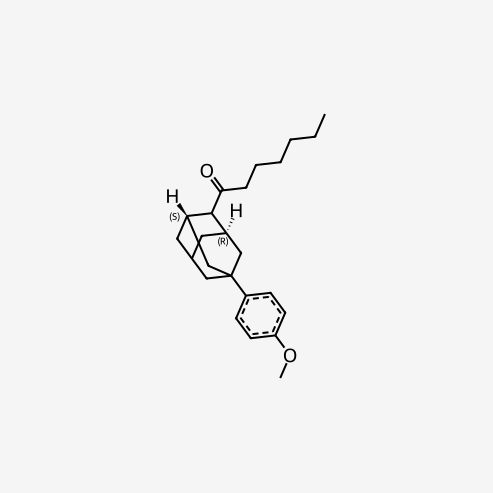 CCCCCCC(=O)C1[C@@H]2CC3C[C@H]1CC(c1ccc(OC)cc1)(C3)C2